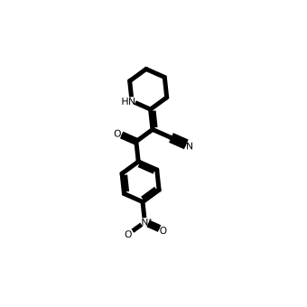 N#CC(C(=O)c1ccc([N+](=O)[O-])cc1)=C1CCCCN1